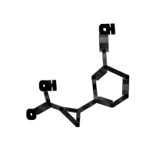 C#Cc1cccc(C2CC2C(=O)O)c1